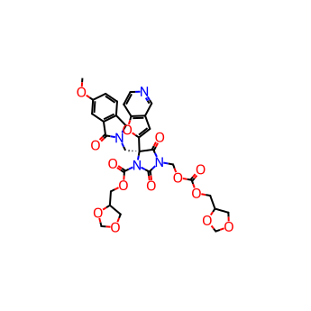 COc1ccc2c(c1)C(=O)N(C[C@]1(c3cc4cnccc4o3)C(=O)N(COC(=O)OCC3COCO3)C(=O)N1C(=O)OCC1COCO1)C2